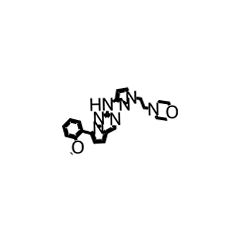 COc1ccccc1-c1ccc2cnc(Nc3ccn(CCN4CCOCC4)n3)nn12